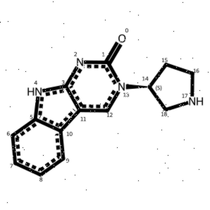 O=c1nc2[nH]c3ccccc3c2cn1[C@H]1CCNC1